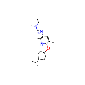 CCN(C)/C=N/c1cc(C)c(OC2CCC(C(C)C)CC2)nc1C